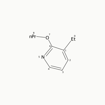 [CH2]Cc1cccnc1OCCC